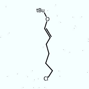 CC(C)(C)OC=CCCCCCl